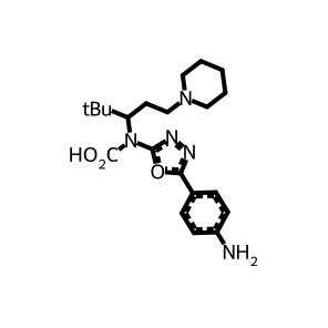 CC(C)(C)C(CCN1CCCCC1)N(C(=O)O)c1nnc(-c2ccc(N)cc2)o1